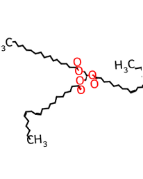 CC/C=C\C/C=C\C/C=C\CCCCCCCC(=O)O[C@@H](COC(=O)CCCCCCCCC/C=C\C/C=C\CCCCC)COC(=O)CCCCCCCCCCCCCCC